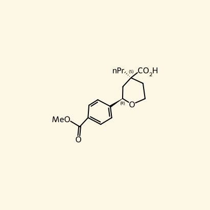 CCC[C@]1(C(=O)O)CCO[C@@H](c2ccc(C(=O)OC)cc2)C1